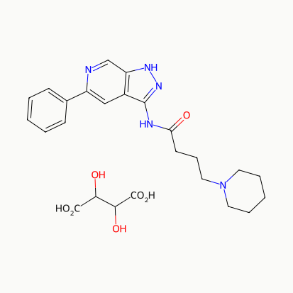 O=C(CCCN1CCCCC1)Nc1n[nH]c2cnc(-c3ccccc3)cc12.O=C(O)C(O)C(O)C(=O)O